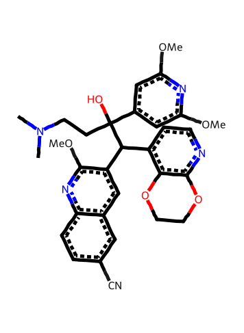 COc1cc(C(O)(CCN(C)C)C(c2cc3cc(C#N)ccc3nc2OC)c2ccnc3c2OCCO3)cc(OC)n1